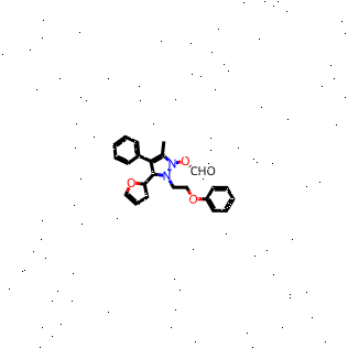 CC1=C(c2ccccc2)C(C2CC=CO2)N(CCOc2ccccc2)N1OC=O